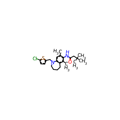 Cc1cc2c(c(C)c1NC(=O)CC(C)(C)C)CCCCN2Cc1ccc(Cl)s1